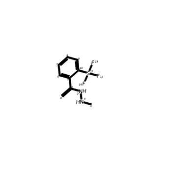 C=C(NNC)c1ccccc1S(F)(F)F